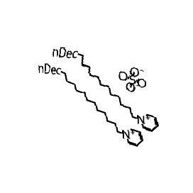 CCCCCCCCCCCCCCCCCCCCCC[n+]1ccccc1.CCCCCCCCCCCCCCCCCCCCCC[n+]1ccccc1.O=S(=O)([O-])[O-]